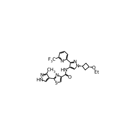 CCO[C@H]1C[C@@H](n2cc(NC(=O)c3csc(-c4c[nH]nc4C)n3)c(-c3cccc(C(F)(F)F)n3)n2)C1